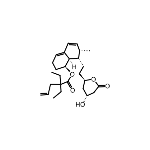 C=CCC(CC)(CC)C(=O)O[C@H]1CCC=C2C=C[C@H](C)[C@H](CC[C@@H]3C[C@@H](O)CC(=O)O3)[C@H]21